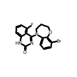 O=c1nc(N2CCCOc3c(Br)cccc32)c2c(F)cccc2[nH]1